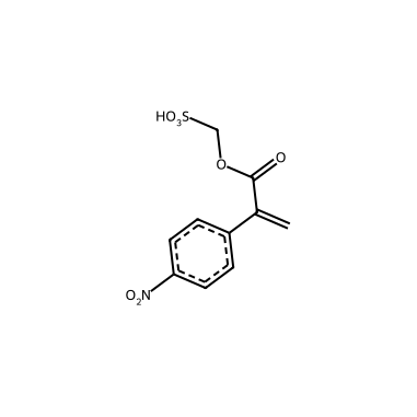 C=C(C(=O)OCS(=O)(=O)O)c1ccc([N+](=O)[O-])cc1